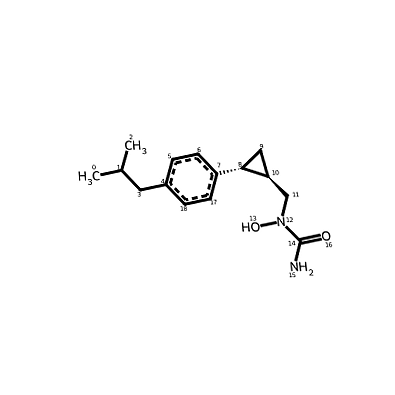 CC(C)Cc1ccc([C@@H]2C[C@H]2CN(O)C(N)=O)cc1